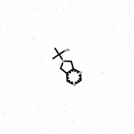 CCCC(C)(C)N1Cc2cncnc2C1